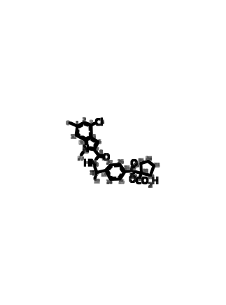 Cc1cc(Cl)c2cc(C(=O)N[C@H](C)c3ccc(S(=O)(=O)C4(C(=O)O)CCCC4)cc3)n(C)c2c1